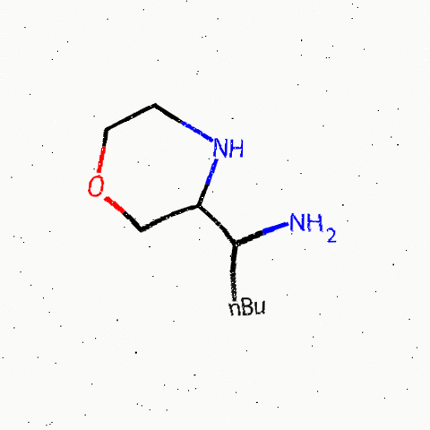 CCCCC(N)C1COCCN1